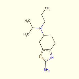 CCCN(C(C)C)C1CCc2nc(N)sc2C1